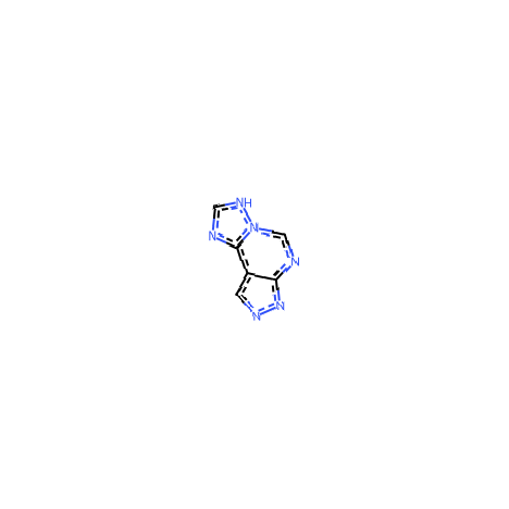 c1nc2c3cnnc-3ncn2[nH]1